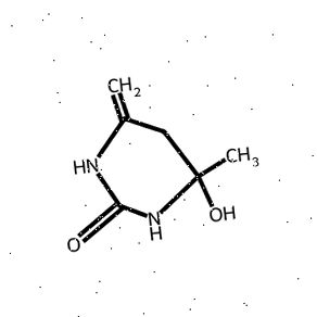 C=C1CC(C)(O)NC(=O)N1